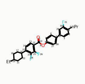 CCCc1ccc(-c2ccc(OC(=O)c3ccc(C4CCC(CC)CC4)c(F)c3F)cc2)cc1F